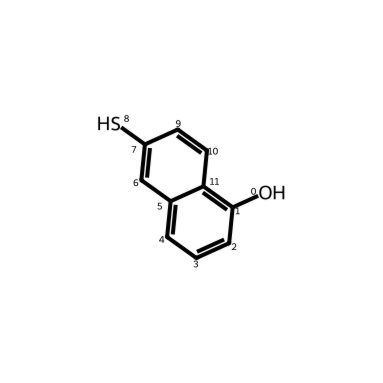 Oc1cccc2cc(S)ccc12